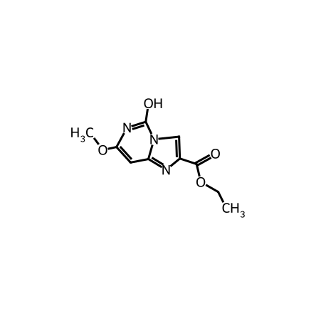 CCOC(=O)c1cn2c(O)nc(OC)cc2n1